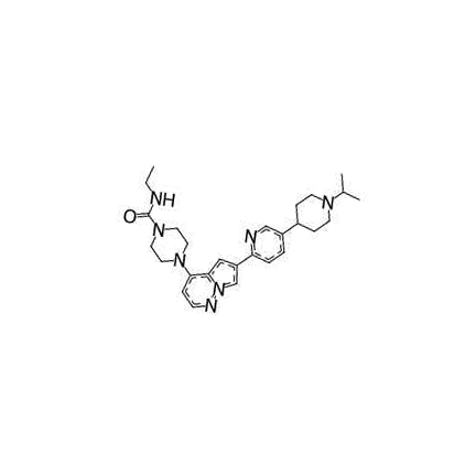 CCNC(=O)N1CCN(c2ccnn3cc(-c4ccc(C5CCN(C(C)C)CC5)cn4)cc23)CC1